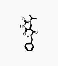 CC(C)n1cc(C(=O)NCc2ccccc2)c(=O)[nH]c1=O